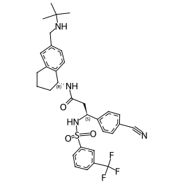 CC(C)(C)NCc1ccc2c(c1)CCC[C@H]2NC(=O)C[C@H](NS(=O)(=O)c1cccc(C(F)(F)F)c1)c1ccc(C#N)cc1